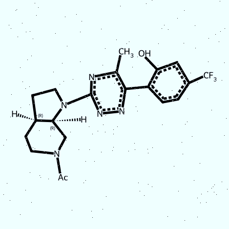 CC(=O)N1CC[C@H]2CCN(c3nnc(-c4ccc(C(F)(F)F)cc4O)c(C)n3)[C@H]2C1